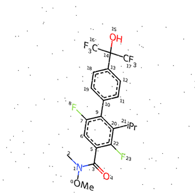 CON(C)C(=O)c1cc(F)c(-c2ccc(C(O)(C(F)(F)F)C(F)(F)F)cc2)c(C(C)C)c1F